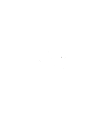 CSC(SC)(c1ccco1)c1ccco1